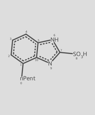 CCCCCc1cccc2[nH]c(S(=O)(=O)O)nc12